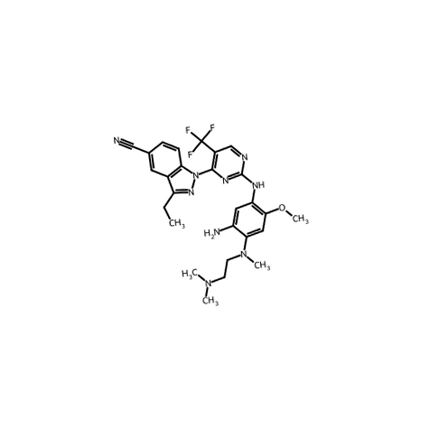 CCc1nn(-c2nc(Nc3cc(N)c(N(C)CCN(C)C)cc3OC)ncc2C(F)(F)F)c2ccc(C#N)cc12